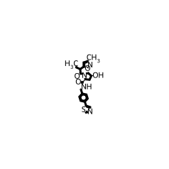 CCC(C(=O)N1C[C@H](O)C[C@H]1C(=O)NCc1ccc(-c2cncs2)cc1)c1cc(C)no1